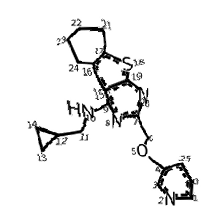 c1cncc(OCc2nc(NCC3CC3)c3c4c(sc3n2)CCCC4)c1